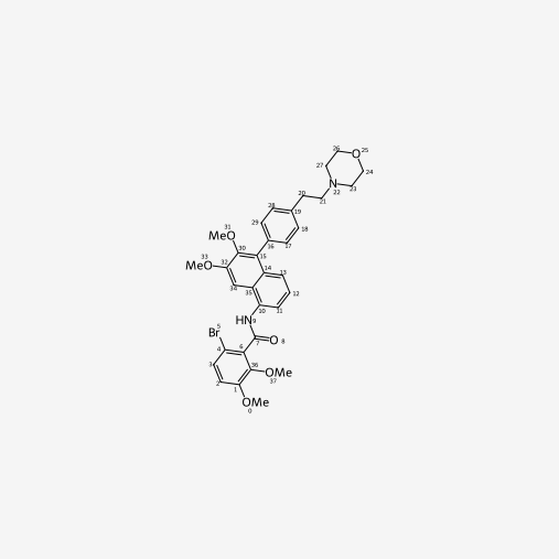 COc1ccc(Br)c(C(=O)Nc2cccc3c(-c4ccc(CCN5CCOCC5)cc4)c(OC)c(OC)cc23)c1OC